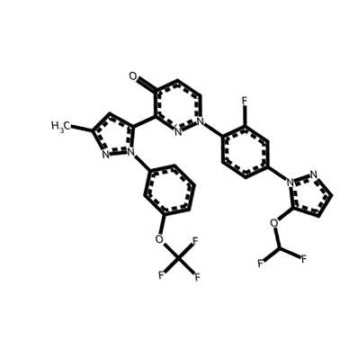 Cc1cc(-c2nn(-c3ccc(-n4nccc4OC(F)F)cc3F)ccc2=O)n(-c2cccc(OC(F)(F)F)c2)n1